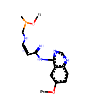 CCOP(C)CN/C=C\C(=N)Nc1ncnc2ccc(OC(C)C)cc12